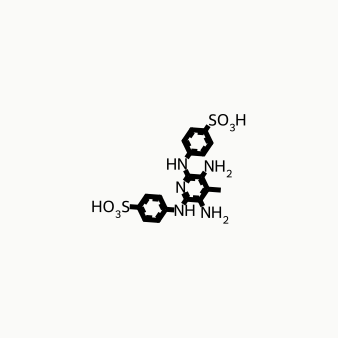 Cc1c(N)c(Nc2ccc(S(=O)(=O)O)cc2)nc(Nc2ccc(S(=O)(=O)O)cc2)c1N